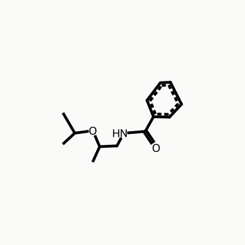 CC(C)OC(C)CNC(=O)c1ccccc1